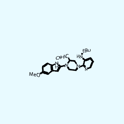 COc1ccc2[nH]c(N3CCN(c4ncccc4NC(C)(C)C)CC3C=O)cc2c1